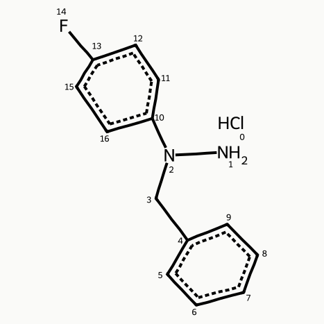 Cl.NN(Cc1ccccc1)c1ccc(F)cc1